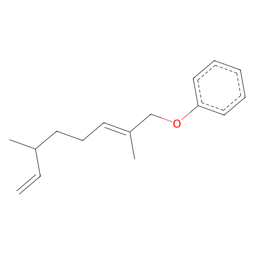 C=CC(C)CC/C=C(\C)COc1ccccc1